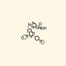 CN(Cc1cc2nc(-c3ccc(N4CCCC4)cc3)nc(N3CCOCC3)c2s1)c1ncc(C(=O)NO)cn1